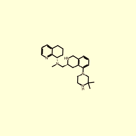 CN(C[C@@H]1Cc2c(cccc2N2CCNC(C)(C)C2)CN1)[C@H]1CCCc2cccnc21